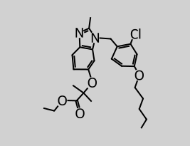 CCCCCOc1ccc(Cn2c(C)nc3ccc(OC(C)(C)C(=O)OCC)cc32)c(Cl)c1